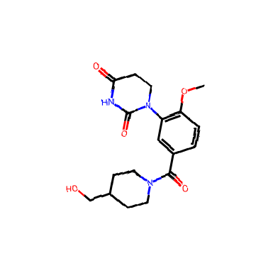 COc1ccc(C(=O)N2CCC(CO)CC2)cc1N1CCC(=O)NC1=O